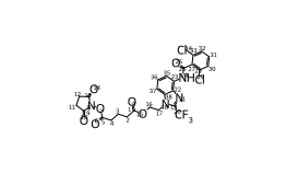 O=C(CCCC(=O)ON1C(=O)CCC1=O)OCCn1c(C(F)(F)F)nc2c(NC(=O)c3c(Cl)cccc3Cl)cccc21